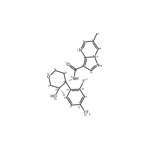 Cc1cnc2c(C(=O)N[C@@]3(c4ccc(C(F)(F)F)cc4F)CCOC[C@]3(C)O)cnn2c1